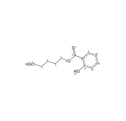 CCCCCCCCCCCCOC(=O)c1ccccc1O